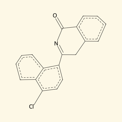 O=C1N=C(c2ccc(Cl)c3ccccc23)Cc2ccccc21